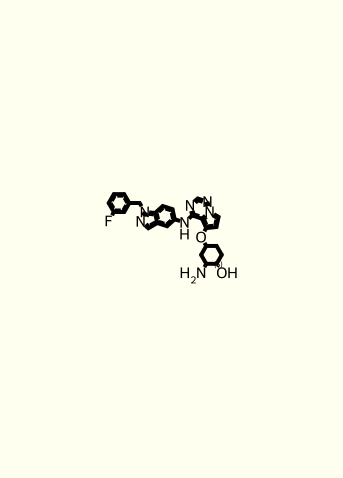 NC1CC(Oc2ccn3ncnc(Nc4ccc5c(cnn5Cc5cccc(F)c5)c4)c23)CC[C@@H]1O